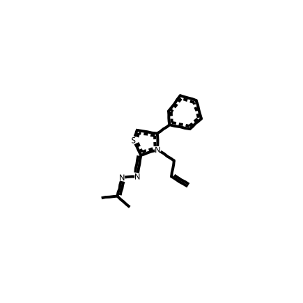 C=CCn1c(-c2ccccc2)csc1=NN=C(C)C